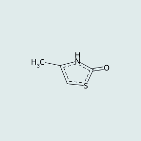 Cc1csc(=O)[nH]1